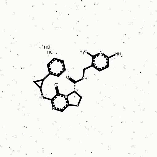 Cc1nc(N)ccc1CNC(=O)[C@@H]1CCc2cnc(NC3CC3c3ccccc3)c(=O)n21.Cl.Cl